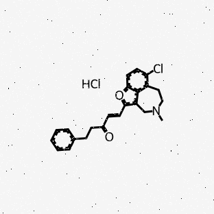 CN1CCc2c(Cl)ccc3oc(/C=C/C(=O)CCc4ccccc4)c(c23)C1.Cl